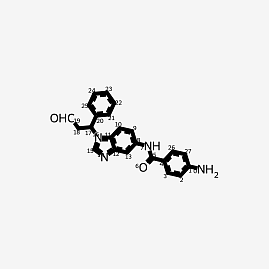 Nc1ccc(C(=O)Nc2ccc3c(c2)ncn3C(CC=O)c2ccccc2)cc1